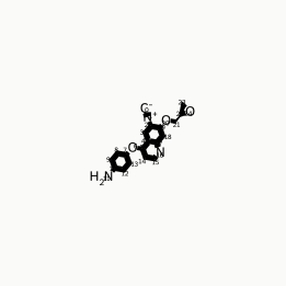 [C-]#[N+]c1cc2c(Oc3ccc(N)cc3)ccnc2cc1OC[C@H]1CO1